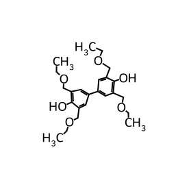 CCOCc1cc(-c2cc(COCC)c(O)c(COCC)c2)cc(COCC)c1O